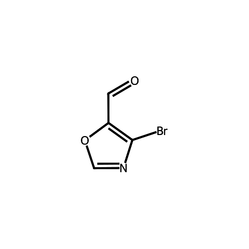 O=Cc1ocnc1Br